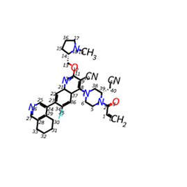 C=CC(=O)N1CCN(C2=C(C#N)C(OC[C@@H]3CCCN3C)=NC3C=C(c4cncc5c4CCCC5)C(F)=CC23)C[C@@H]1CC#N